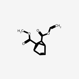 C=COC(=O)C1C2C=CC(C2)C1C(=O)OC